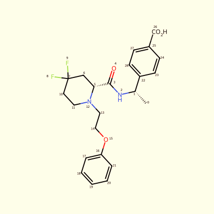 C[C@H](NC(=O)[C@H]1CC(F)(F)CCN1CCOc1ccccc1)c1ccc(C(=O)O)cc1